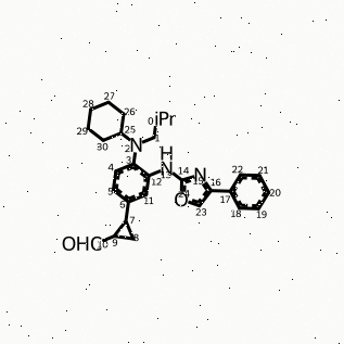 CC(C)CN(c1ccc(C2CC2C=O)cc1Nc1nc(-c2ccccc2)co1)C1CCCCC1